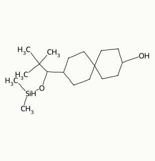 C[SiH](C)OC(C1CCC2(CCC(O)CC2)CC1)C(C)(C)C